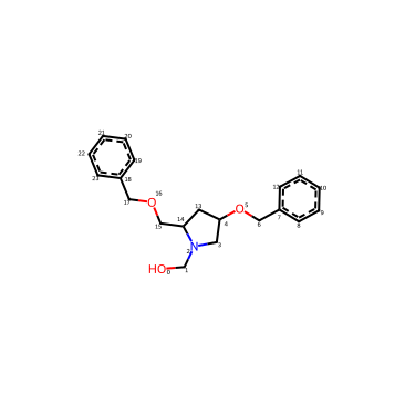 OCN1CC(OCc2ccccc2)CC1COCc1ccccc1